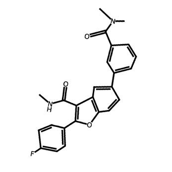 CNC(=O)c1c(-c2ccc(F)cc2)oc2ccc(-c3cccc(C(=O)N(C)C)c3)cc12